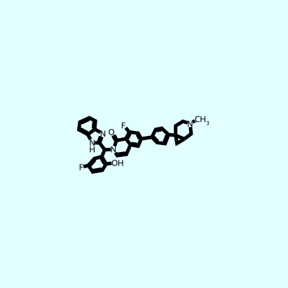 CN1CCC2(c3ccc(-c4cc(F)c5c(=O)n(C(c6nc7ccccc7[nH]6)c6cc(F)ccc6O)ccc5c4)cc3)CC2C1